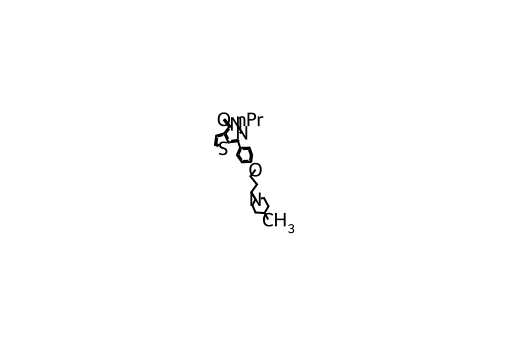 CCCn1nc(-c2ccc(OCCCN3CCC(C)CC3)cc2)c2sccc2c1=O